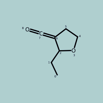 CCC1OCCC1=C=O